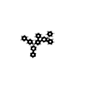 C1=CC(c2ccccc2)CC=C1N(c1ccc(-c2ccccc2)cc1)c1ccc(C2C=Cc3c(c4ccccc4n3-c3ccccc3)C2)c(-c2ccccc2)c1